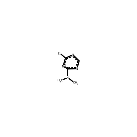 CCc1ncnc(N(C)C)n1